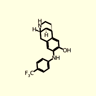 Oc1cc2c(cc1Nc1ccc(C(F)(F)F)cc1)C[C@@H]1NCC[C@]23CCCC[C@H]13